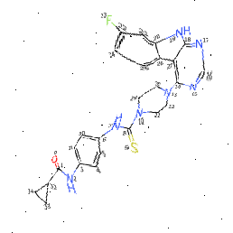 O=C(Nc1ccc(NC(=S)N2CCN(c3ncnc4[nH]c5cc(F)ccc5c34)CC2)cc1)C1CC1